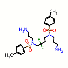 Cc1ccc(S(=O)(=O)N(CCCN)CCC(F)(F)CN(CCCN)S(=O)(=O)c2ccc(C)cc2)cc1